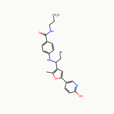 Cc1oc(-c2ccc(O)nc2)cc1C(CC(C)C)Nc1ccc(C(=O)NCCC(=O)O)cc1